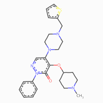 CN1CCC(Oc2c(N3CCN(Cc4cccs4)CC3)cnn(-c3ccccc3)c2=O)CC1